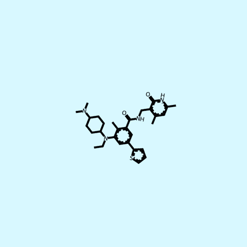 CCN(c1cc(-c2cccs2)cc(C(=O)NCc2c(C)cc(C)[nH]c2=O)c1C)C1CCC(N(C)C)CC1